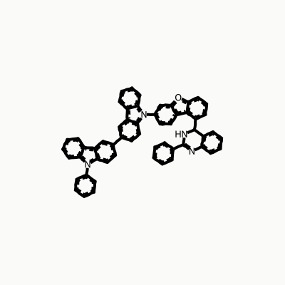 c1ccc(C2=Nc3ccccc3C(c3cccc4oc5cc(-n6c7ccccc7c7cc(-c8ccc9c(c8)c8ccccc8n9-c8ccccc8)ccc76)ccc5c34)N2)cc1